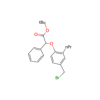 CCCc1cc(CBr)ccc1OC(C(=O)OC(C)(C)C)c1ccccc1